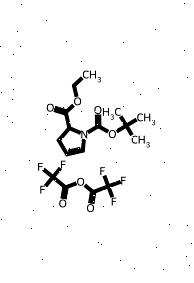 CCOC(=O)C1CC=CN1C(=O)OC(C)(C)C.O=C(OC(=O)C(F)(F)F)C(F)(F)F